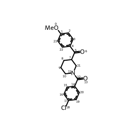 COc1ccc(C(=O)C2CCCN(C(=O)c3ccc(Cl)cc3)C2)cc1